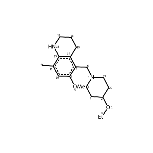 CCOC1CCN(Cc2c(OC)cc(C)c3c2CCCN3)CC1